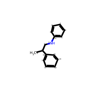 CC(CNc1ccccc1)c1ccccc1